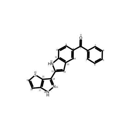 O=C(c1ccccc1)c1ccc2[nH]c(-c3n[nH]c4ccsc34)cc2c1